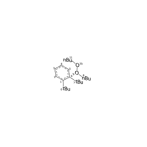 CC(C)(C)c1ccccc1C(C)(C)C.CCCCOOCCCC